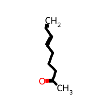 C=C/C=C/CCCC(C)=O